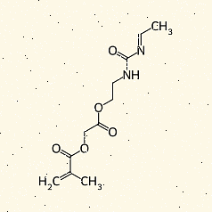 C=C(C)C(=O)OCC(=O)OCCNC(=O)N=CC